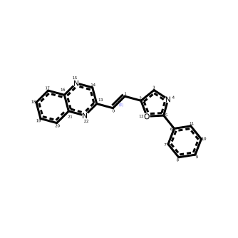 C(=C\c1cnc(-c2ccccc2)o1)/c1cnc2ccccc2n1